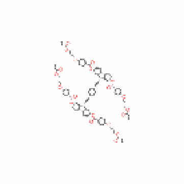 C=CC(=O)OCCCOc1ccc(C(=O)Oc2ccc3c(c2)C(C#Cc2ccc(C#CC4c5cc(OC(=O)c6ccc(OCCCOC(=O)C=C)cc6)ccc5-c5ccc(OC(=O)c6ccc(OCCCOC(=O)C=C)cc6)cc54)cc2)c2cc(OC(=O)c4ccc(OCCCOC(=O)C=C)cc4)ccc2-3)cc1